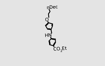 CCCCCCCCCCCCCOc1ccc(CNc2ccc(C(=O)OCC)cc2)cc1